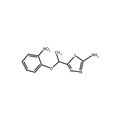 CC(Oc1ccccc1[N+](=O)[O-])c1nnc(N)s1